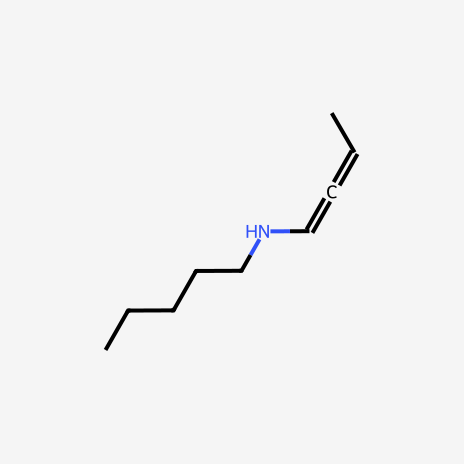 CC=C=CNCCCCC